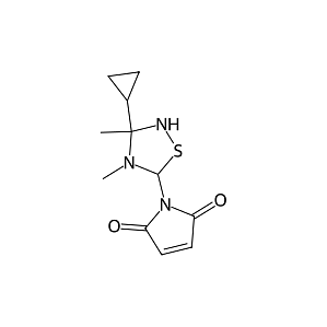 CN1C(N2C(=O)C=CC2=O)SNC1(C)C1CC1